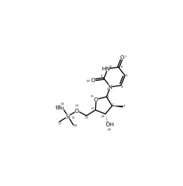 C[C@@H]1C(n2ccc(=O)[nH]c2=O)OC(CO[Si](C)(C)C(C)(C)C)[C@H]1O